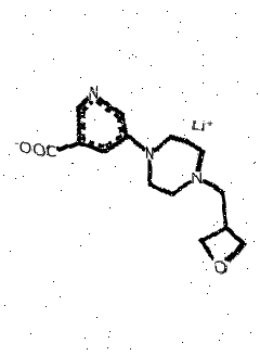 O=C([O-])c1cncc(N2CCN(CC3COC3)CC2)c1.[Li+]